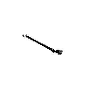 CCCCCCCCCCCCCCCCCCCCCCCCCCCCCCOC(=O)C=Cc1ccc(O)c(O)c1